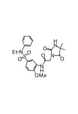 CCN(c1ccccc1)S(=O)(=O)c1ccc(OC)c(NC(=O)CN2C(=O)NC(C)(C)C2=O)c1